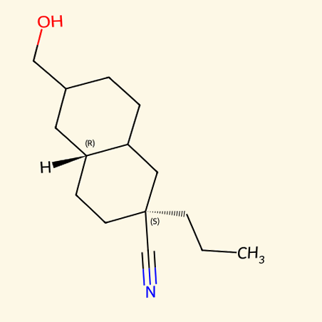 CCC[C@]1(C#N)CC[C@@H]2CC(CO)CCC2C1